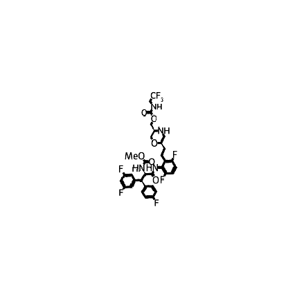 COC(=O)N[C@H](C(=O)Nc1c(F)ccc(F)c1CC[C@@H]1CN[C@H](COC(=O)NCC(F)(F)F)CO1)[C@@H](c1ccc(F)cc1)c1cc(F)cc(F)c1